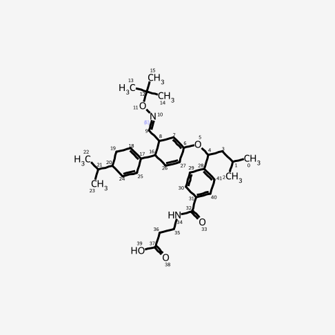 CC(C)CC(OC1=CC(/C=N/OC(C)(C)C)C(C2=CCC(C(C)C)C=C2)C=C1)c1ccc(C(=O)NCCC(=O)O)cc1